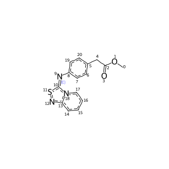 COC(=O)Cc1ccc(/N=c2/snc3ccccn23)cc1